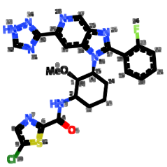 CO[C@@H]1C(NC(=O)c2ncc(Cl)s2)CCC[C@@H]1n1c(-c2ccccc2F)nc2cnc(-c3nc[nH]n3)cc21